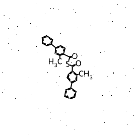 Cc1cc(-c2ccccc2)ccc1C(=O)SC(=O)c1ccc(-c2ccccc2)cc1C